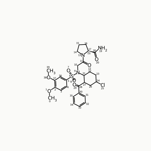 COc1ccc(S(=O)(=O)N(CC(=O)N2CCC[C@H]2C(N)=O)C2CCC(Cl)CC2C(=O)c2ccccc2)cc1OC